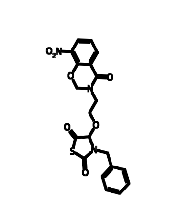 O=C1SC(=O)N(Cc2ccccc2)C1OCCN1COc2c(cccc2[N+](=O)[O-])C1=O